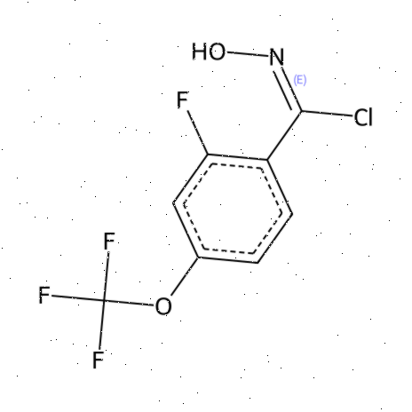 O/N=C(/Cl)c1ccc(OC(F)(F)F)cc1F